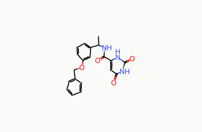 CC(NC(=O)c1cc(=O)[nH]c(=O)[nH]1)c1cccc(OCc2ccccc2)c1